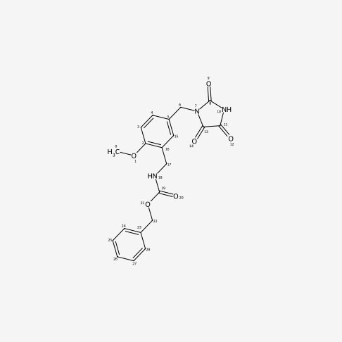 COc1ccc(CN2C(=O)NC(=O)C2=O)cc1CNC(=O)OCc1ccccc1